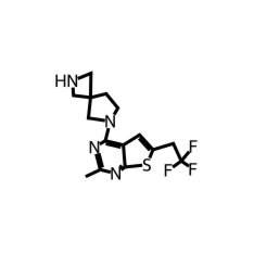 Cc1nc(N2CCC3(CNC3)C2)c2cc(CC(F)(F)F)sc2n1